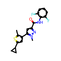 Cc1sc(C2CC2)cc1-c1cc(C(=O)Nc2c(F)cccc2F)nn1C